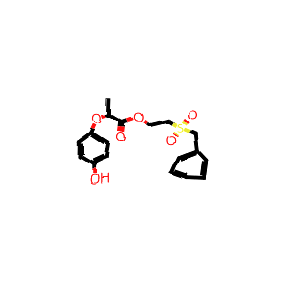 CC(Oc1ccc(O)cc1)C(=O)OCCS(=O)(=O)Cc1ccccc1